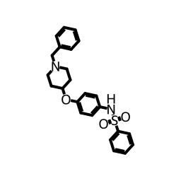 O=S(=O)(Nc1ccc(OC2CCN(Cc3ccccc3)CC2)cc1)c1ccccc1